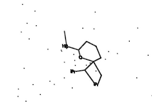 CBC1CCCC(CC(C)C)(C(C)C(C)C)O1